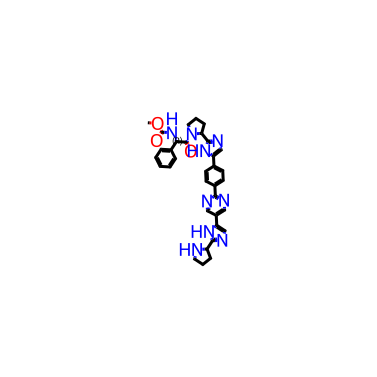 COC(=O)N[C@@H](C(=O)N1CCCC1c1ncc(-c2ccc(-c3ncc(-c4cnc(C5CCCN5)[nH]4)cn3)cc2)[nH]1)c1ccccc1